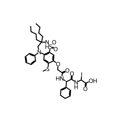 CCCCC1(CCCC)CN(c2ccccc2)c2cc(SC)c(OCC(=O)N[C@@H](C(=O)NC(I)C(=O)O)C3=CCCC=C3)cc2S(=O)(=O)N1